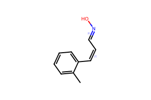 Cc1ccccc1/C=C\C=N\O